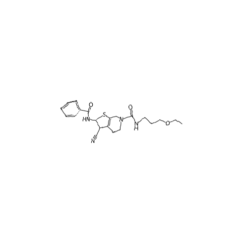 CCOCCCNC(=O)N1CCC2=C(C1)SC(NC(=O)c1ccccc1)C2C#N